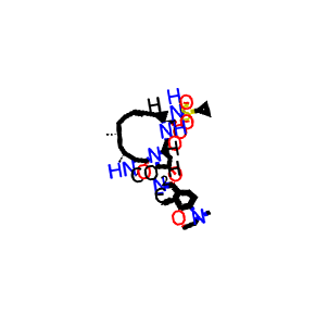 C[C@@H]1CC/C=C\[C@@H]2C[C@@]2(C(=O)NS(=O)(=O)C2CC2)NC(=O)[C@@H]2C[C@@H](Oc3nccc4c5c(ccc34)N(C)CCO5)CN2C(=O)[C@@H](NC(=O)O)[C@H](C)C1